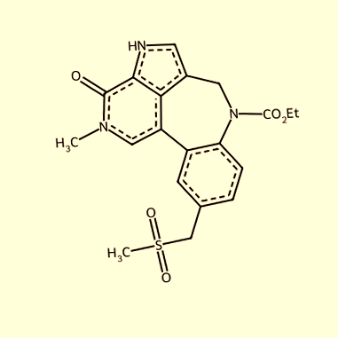 CCOC(=O)N1Cc2c[nH]c3c(=O)n(C)cc(c23)-c2cc(CS(C)(=O)=O)ccc21